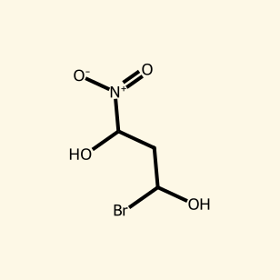 O=[N+]([O-])C(O)CC(O)Br